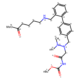 CCCCOC(=O)NC(=O)CN(Cc1ccc(-c2ccccc2CNCCCCC(=O)OC)cc1)N(C)CCC